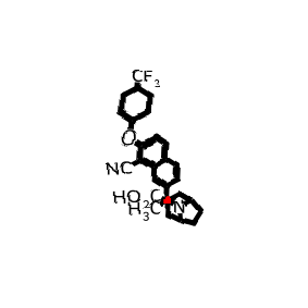 CC(c1ccc2ccc(OC3CCC(C(F)(F)F)CC3)c(C#N)c2c1)N1C2CCC1CC(C(=O)O)C2